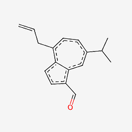 C=CCc1ccc(C(C)C)cc2c(C=O)ccc1-2